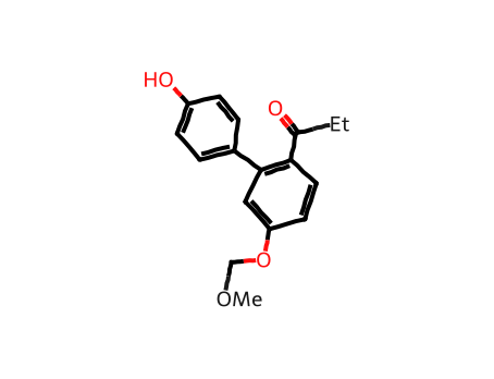 CCC(=O)c1ccc(OCOC)cc1-c1ccc(O)cc1